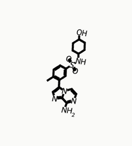 Cc1ccc(S(=O)(=O)NC2CCC(O)CC2)cc1-c1cnc2c(N)nccn12